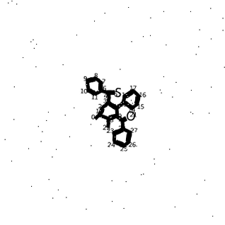 Cc1cc(C(=S)c2ccccc2)c(-c2ccccc2)c(C(=O)c2ccccc2)c1C